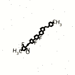 Cc1ccc(CCc2ccc3cc(-c4ccc(-c5ccc(C#Cc6c(F)cc(C)cc6N=O)cc5F)cc4F)ccc3c2)cc1